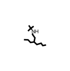 CCCCC(CCC)CCNC(C)(C)C